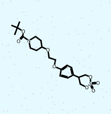 CC(C)(C)OC(=O)N1CCC(OCCOc2ccc(C3COS(=O)(=O)OC3)cc2)CC1